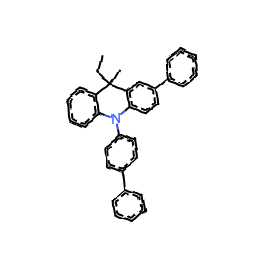 CCC1(C)c2ccccc2N(c2ccc(-c3ccccc3)cc2)c2ccc(-c3ccccc3)cc21